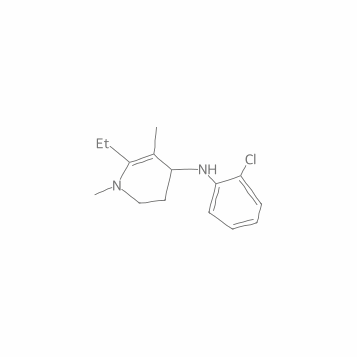 CCC1=C(C)C(Nc2ccccc2Cl)CCN1C